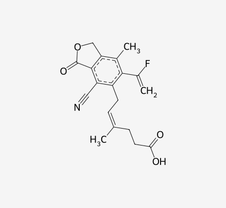 C=C(F)c1c(C)c2c(c(C#N)c1CC=C(C)CCC(=O)O)C(=O)OC2